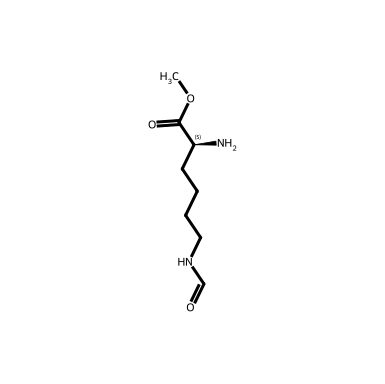 COC(=O)[C@@H](N)CCCCNC=O